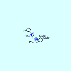 CCCCn1c(CNC(Cc2ccc(OC)c(OC)c2Cl)CC(C)C)cnc1-c1cccc(F)c1